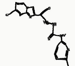 O=C(NNC(=S)Nc1ccc(Cl)nc1)c1cn2ccc(Cl)cc2n1